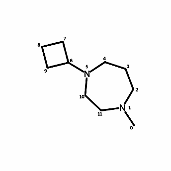 CN1CCCN(C2CCC2)CC1